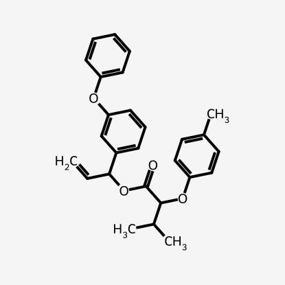 C=CC(OC(=O)C(Oc1ccc(C)cc1)C(C)C)c1cccc(Oc2ccccc2)c1